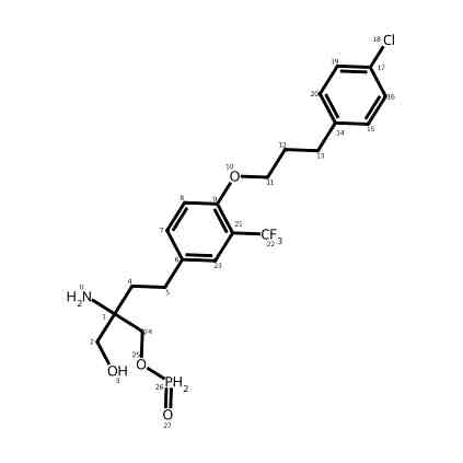 NC(CO)(CCc1ccc(OCCCc2ccc(Cl)cc2)c(C(F)(F)F)c1)CO[PH2]=O